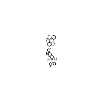 CCOC(=O)[C@H]1[C@@H]2Cc3cc(OCc4cccc5c4CCC5c4ccccc4C(F)(F)F)ncc3[C@@H]21